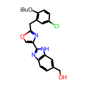 CC(C)COc1ccc(Cl)cc1Cc1nc(-c2nc3ccc(CO)cc3[nH]2)co1